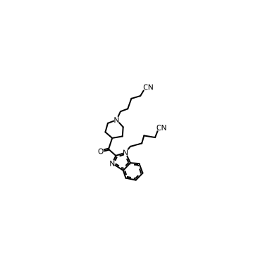 N#CCCCCN1CCC(C(=O)c2nc3ccccc3n2CCCCC#N)CC1